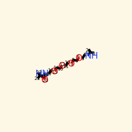 CC(C)NCCOCCOCCOCCOCCNC(=O)C(C)C